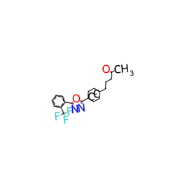 CC(=O)CCCC12CCC(c3nnc(-c4ccccc4C(F)(F)F)o3)(CC1)CC2